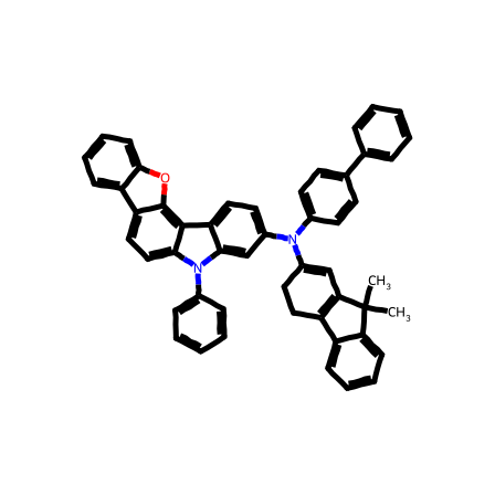 CC1(C)C2=C(CCC(N(c3ccc(-c4ccccc4)cc3)c3ccc4c5c6oc7ccccc7c6ccc5n(-c5ccccc5)c4c3)=C2)c2ccccc21